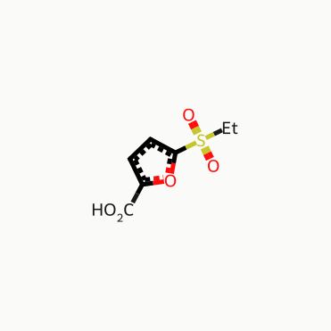 CCS(=O)(=O)c1ccc(C(=O)O)o1